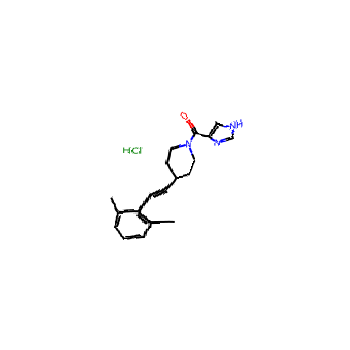 Cc1cccc(C)c1C=CC1CCN(C(=O)c2c[nH]cn2)CC1.Cl